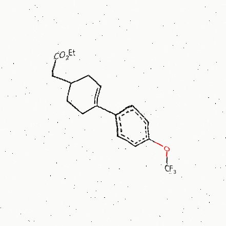 CCOC(=O)CC1CC=C(c2ccc(OC(F)(F)F)cc2)CC1